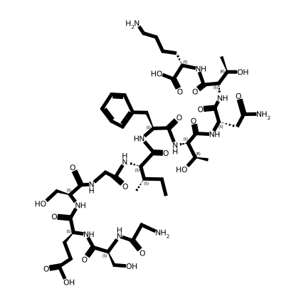 CC[C@H](C)[C@H](NC(=O)CNC(=O)[C@H](CO)NC(=O)[C@H](CCC(=O)O)NC(=O)[C@H](CO)NC(=O)CN)C(=O)N[C@@H](Cc1ccccc1)C(=O)N[C@H](C(=O)N[C@@H](CC(N)=O)C(=O)N[C@H](C(=O)N[C@@H](CCCCN)C(=O)O)[C@@H](C)O)[C@@H](C)O